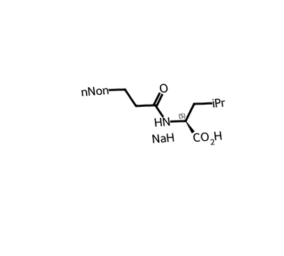 CCCCCCCCCCCC(=O)N[C@@H](CC(C)C)C(=O)O.[NaH]